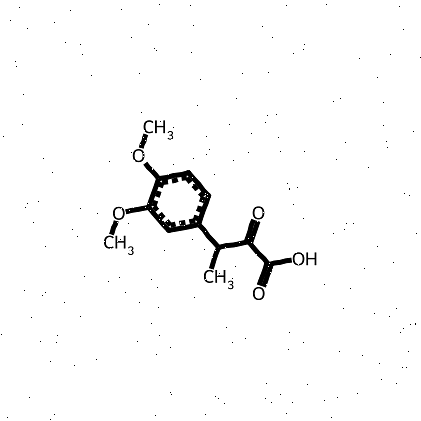 COc1ccc(C(C)C(=O)C(=O)O)cc1OC